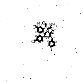 CCC[C@H](C(N)=O)N1C(=O)[C@H](Cc2ccc(I)cc2)O[C@@H](c2ccc(Cl)cc2)[C@H]1c1ccc(Cl)cc1